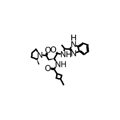 CC1CC(C(=O)N[C@@H](CC(=O)N2CCC[C@@H]2C)C(=O)NC(C)c2nc3ccccc3[nH]2)C1